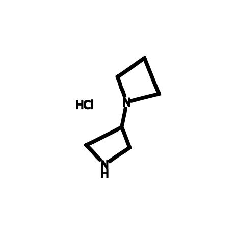 C1CN(C2CNC2)C1.Cl